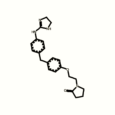 O=C1CCCN1CCOc1ccc(Cc2ccc(NC3=NCCN3)cc2)cc1